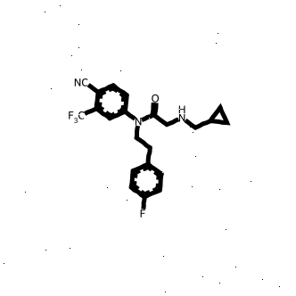 N#Cc1ccc(N(CCc2ccc(F)cc2)C(=O)CNCC2CC2)cc1C(F)(F)F